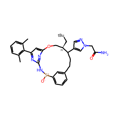 Cc1cccc(C)c1-c1cc2nc(n1)N[S+]([O-])c1cccc(c1)CCC(c1cnn(CC(N)=O)c1)[C@H](CC(C)(C)C)CO2